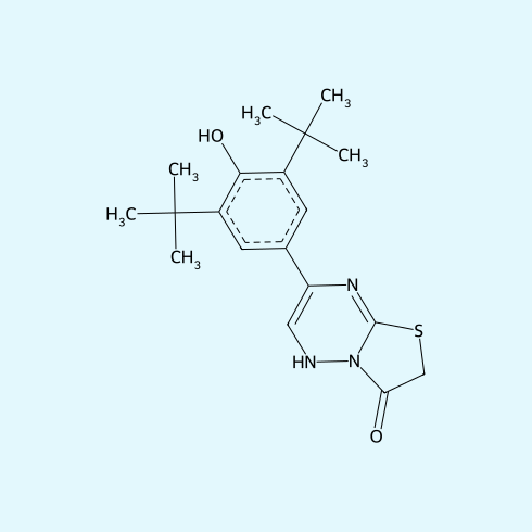 CC(C)(C)c1cc(C2=CNN3C(=O)CSC3=N2)cc(C(C)(C)C)c1O